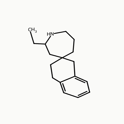 CCC1CC2(CCCN1)CCc1ccccc1C2